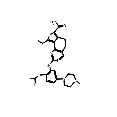 CSc1sc(C(N)=O)c2c1-c1nc(Nc3cc(N4CCN(C)CC4)ccc3OC(F)F)ncc1CC2